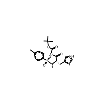 Cc1ccc(S(=O)(=O)N[C@@H](Cc2c[nH]cn2)C(=O)OC(=O)OC(C)(C)C)cc1